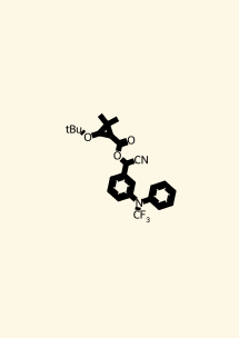 CC(C)(C)OC1C(C(=O)OC(C#N)c2cccc(N(c3ccccc3)C(F)(F)F)c2)C1(C)C